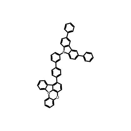 c1ccc(-c2ccc3c(c2)c2cc(-c4ccccc4)ccc2n3-c2cccc(-c3ccc(-c4ccc5c6c4c4ccccc4n6-c4ccccc4O5)cc3)c2)cc1